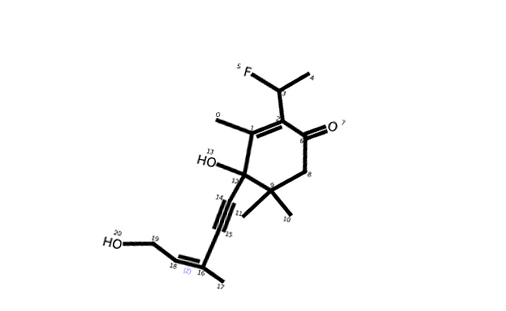 CC1=C(C(C)F)C(=O)CC(C)(C)C1(O)C#C/C(C)=C\CO